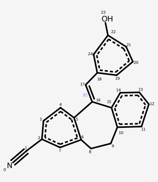 N#Cc1ccc2c(c1)CCc1ccccc1/C2=C\c1cccc(O)c1